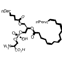 CCCCC/C=C\C/C=C\C/C=C\C/C=C\CCCC(=O)O[C@H](COC(=O)CCCCCCCCCCCCC)COP(=O)(O)OC[C@H](N)C(=O)O